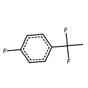 CC(F)(F)c1ccc(F)cc1